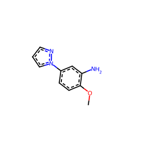 COc1ccc(-n2cccn2)cc1N